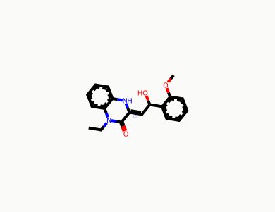 CCN1C(=O)/C(=C/C(O)c2ccccc2OC)Nc2ccccc21